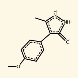 COc1ccc(-c2c(C)[nH][nH]c2=O)cc1